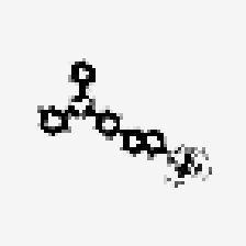 CC1(C)OB(c2ccc3cc(-c4ccc(-c5nc(-c6ccccc6)nc(-c6ccccc6)n5)cc4)ccc3c2)OC1(C)C